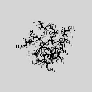 C=CC(=O)C(C)(C)OC(C)CC(C)(C)OCC(COCC1(COC(C)(C)CC(C)OC(C)(C)C(=O)C=C)COC(C)(C)CC(C)OC(C)(C(=O)C=C)CC(OC(C)(C)C(=O)C=C)CC(C)(C)OC1)(COC(C)(C)CC(C)OC(C)(C)C(=O)C=C)COC(C)(C)CC(C)OC(C)(C)C(=O)C=C